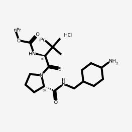 CCCOC(=O)N[C@H](C(=S)N1CCC[C@H]1C(=O)NCC1CCC(N)CC1)C(C)(C)C(C)C.Cl